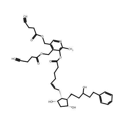 C#CCCC(=O)OCc1cnc(C)c(OC(=O)CCC/C=C\C[C@@H]2[C@@H](CCC(O)CCc3ccccc3)[C@H](O)C[C@@H]2O)c1COC(=O)CCC#C